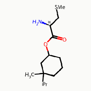 CSC[C@H](N)C(=O)OC1CCCC(C)(C(C)C)C1